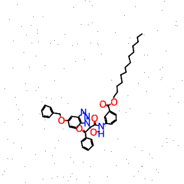 CCCCCCCCCCCCCCOC(=O)c1cccc(NC(=O)C(OC)(C(=O)c2ccccc2)n2nnc3cc(OCc4ccccc4)ccc32)c1